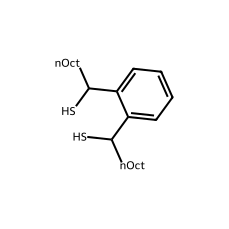 CCCCCCCCC(S)c1ccccc1C(S)CCCCCCCC